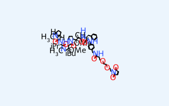 CC[C@H](C)[C@@H]([C@@H](CC(=O)N1CCC[C@H]1[C@H](OC)[C@@H](C)C(=O)N[C@@H](Cc1ccccc1)C(=O)Nc1ccc(CNC(=O)CCOCCOCCN2C(=O)C=CC2=O)cc1)OC)N(C)C(=O)[C@@H](NC(=O)[C@@H]1[C@H]2CC[C@@H](C2)N1C)C(C)C